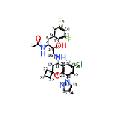 CC(=O)N[C@@H](Cc1cc(F)cc(F)c1)[C@@H](O)CN[C@H]1CC2(CCC2)Oc2c1cc(Cl)cc2-n1cccn1